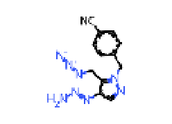 N#Cc1ccc(Cn2ncc(N=NN)c2CN=[N+]=[N-])cc1